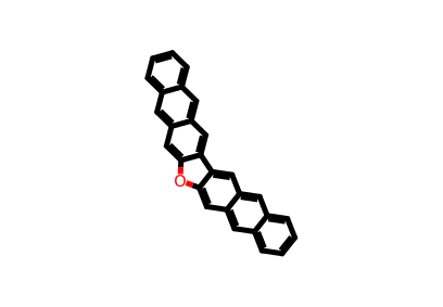 c1ccc2cc3cc4c(cc3cc2c1)oc1cc2cc3ccccc3cc2cc14